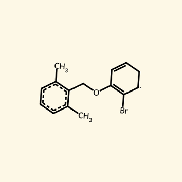 Cc1cccc(C)c1COC1=C(Br)[CH]CC=C1